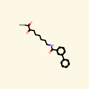 CNC(=O)C(=O)CCCCCCNC(=O)c1cccc(-c2ccccc2)c1